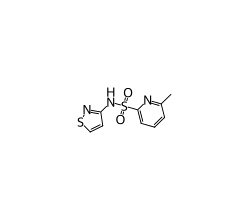 Cc1cccc(S(=O)(=O)Nc2ccsn2)n1